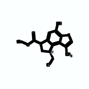 Cc1csc2c(O)cc3c(c12)[C@H](CCl)CN3C(=O)OC(C)(C)C